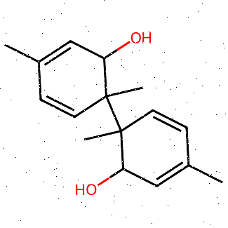 CC1=CC(O)C(C)(C2(C)C=CC(C)=CC2O)C=C1